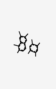 Cc1cc(C)c(C)cc1C.Cc1cc2ccc(C)c(C)c2cc1C